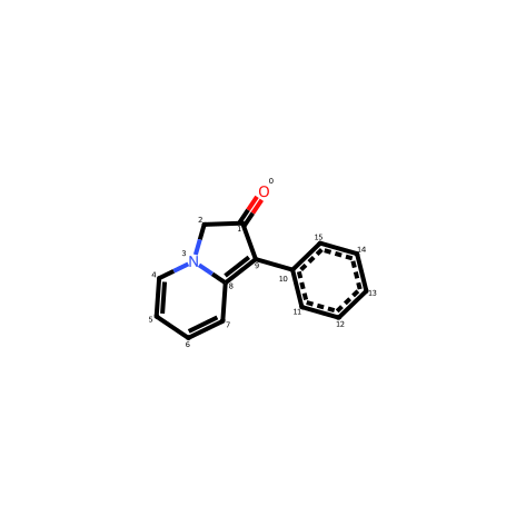 O=C1CN2C=CC=CC2=C1c1ccccc1